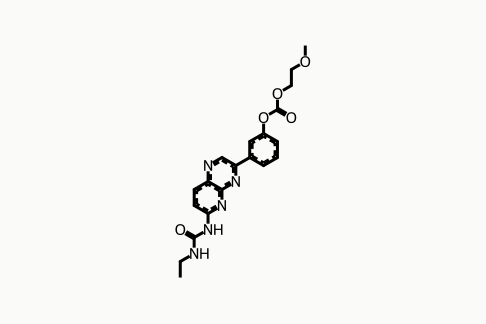 CCNC(=O)Nc1ccc2ncc(-c3cccc(OC(=O)OCCOC)c3)nc2n1